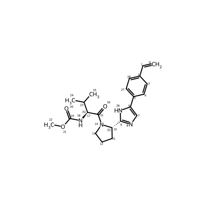 C=Cc1ccc(-c2cnc([C@@H]3CCCN3C(=O)[C@@H](NC(=O)OC)C(C)C)[nH]2)cc1